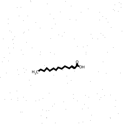 CCCCCCCCCCC/C=C/C(=O)O